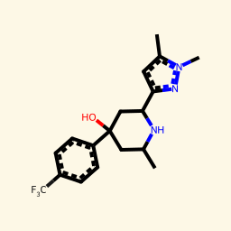 Cc1cc(C2CC(O)(c3ccc(C(F)(F)F)cc3)CC(C)N2)nn1C